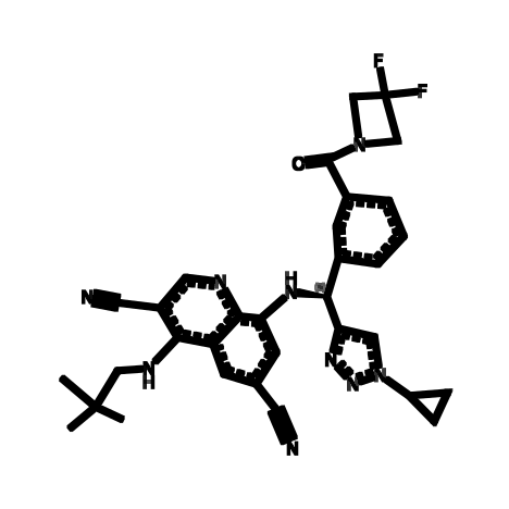 CC(C)(C)CNc1c(C#N)cnc2c(N[C@@H](c3cccc(C(=O)N4CC(F)(F)C4)c3)c3cn(C4CC4)nn3)cc(C#N)cc12